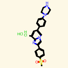 Cc1cc(-c2ccc(N3CCNCC3)cc2)cn2cc(-c3ccc(S(C)(=O)=O)cc3)nc12.Cl.Cl